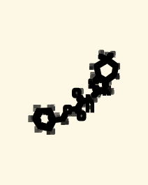 CC1(C)CCc2nc(NC(=O)C(=O)OCc3ccccc3)sc2C1